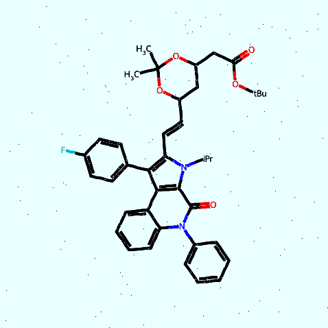 CC(C)n1c(C=CC2CC(CC(=O)OC(C)(C)C)OC(C)(C)O2)c(-c2ccc(F)cc2)c2c3ccccc3n(-c3ccccc3)c(=O)c21